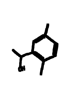 Cc1ccc(C)c(C(C)O)c1